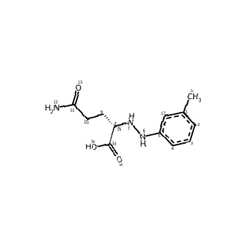 Cc1cccc(NN[C@@H](CCC(N)=O)C(=O)O)c1